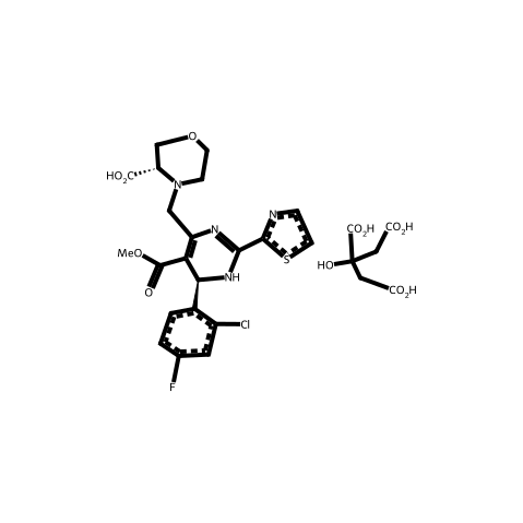 COC(=O)C1=C(CN2CCOC[C@H]2C(=O)O)N=C(c2nccs2)N[C@H]1c1ccc(F)cc1Cl.O=C(O)CC(O)(CC(=O)O)C(=O)O